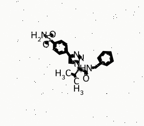 CC(C)[C@H](C(=O)NCc1ccccc1)n1cc(-c2ccc(S(N)(=O)=O)cc2)nn1